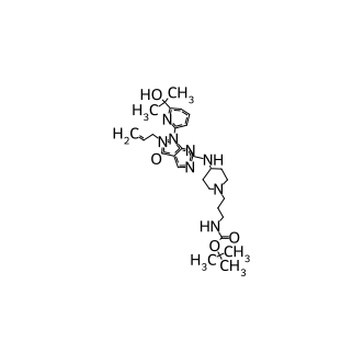 C=CCn1c(=O)c2cnc(NC3CCN(CCCNC(=O)OC(C)(C)C)CC3)nc2n1-c1cccc(C(C)(C)O)n1